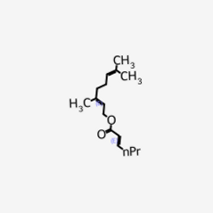 CCC/C=C/C(=O)OC/C=C(\C)CCC=C(C)C